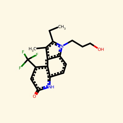 CCc1c(C)c2c3c(C(F)(F)F)cc(=O)[nH]c3ccc2n1CCCO